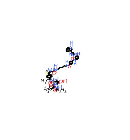 CC(=O)N[C@H](C(=O)N1C[C@H](O)C[C@H]1C(=O)N[C@@H](C)c1ccc(-c2scnc2C(=O)NCCCCCNC(=O)c2ccc(C(=O)Nc3cccc(Nc4cc(-c5c[nH]c6ccccc56)ncn4)c3)cc2)cc1)C(C)(C)C